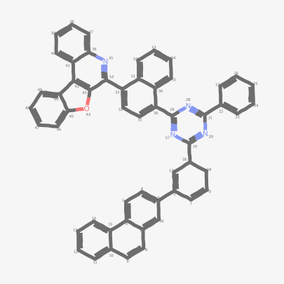 C1=CC(c2ccc3c(ccc4ccccc43)c2)=CC(c2nc(-c3ccccc3)nc(-c3ccc(-c4nc5ccccc5c5c4oc4ccccc45)c4ccccc34)n2)C1